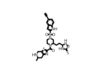 C#Cc1ccc2[nH]c(S(=O)(=O)N3CCN(C(=O)c4nc5c(s4)CNC(C)C5)C(CCC4NOC(=S)N4)C3)cc2c1